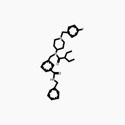 CCC(CC)C(=O)N(Cc1cccc(C(=O)NCc2ccccc2)c1)C1CCN(Cc2ccc(F)cc2)CC1